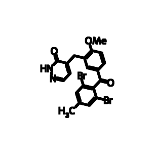 COc1ccc(C(=O)c2c(Br)cc(C)cc2Br)cc1Cc1ccn[nH]c1=O